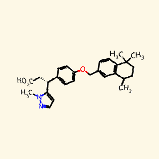 CC1CCC(C)(C)c2ccc(COc3ccc([C@@H](CC(=O)O)c4ccnn4C)cc3)cc21